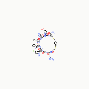 NCCCC[C@@H]1NC(=O)CCSCc2ccc(cc2)CS[C@H]2C[C@@H](C(N)=O)N(C2)C(=O)[C@H](Cc2ccc(O)cc2)NC(=O)[C@H](Cc2cnc[nH]2)NC(=O)[C@H](CC(=O)O)NC(=O)[C@H](Cc2c[nH]c3ccc(F)cc23)NC(=O)[C@H](Cc2c[nH]c3ccc(F)cc23)NC(=O)CNC1=O